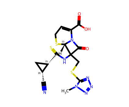 Cn1nnnc1SCC1(NC(=S)[C@H]2C[C@H]2C#N)C(=O)N2C(C(=O)O)=CCS[C@H]21